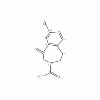 C=C1CN(C(=O)C(F)(F)F)CCc2ccc(Cl)cc21